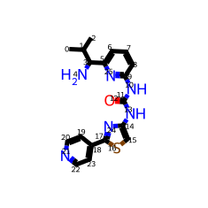 CC(C)C(N)c1cccc(NC(=O)Nc2csc(-c3ccncc3)n2)n1